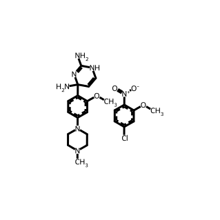 COc1cc(Cl)ccc1[N+](=O)[O-].COc1cc(N2CCN(C)CC2)ccc1C1(N)C=CNC(N)=N1